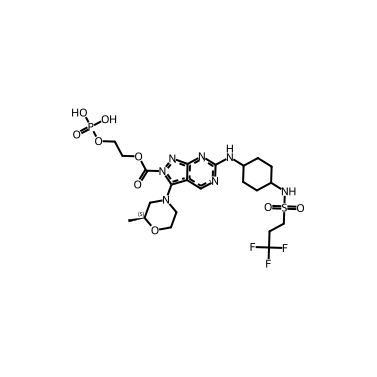 C[C@H]1CN(c2c3cnc(NC4CCC(NS(=O)(=O)CCC(F)(F)F)CC4)nc3nn2C(=O)OCCOP(=O)(O)O)CCO1